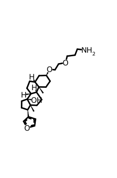 C[C@]12CC[C@H](OCCOCCCN)C[C@H]1CC[C@@H]1[C@@H]2CC[C@]2(C)[C@@H](c3ccoc3)CC[C@]12O